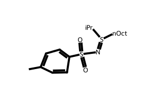 CCCCCCCCS(=NS(=O)(=O)c1ccc(C)cc1)C(C)C